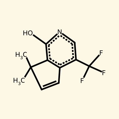 CC1(C)C=Cc2c(C(F)(F)F)cnc(O)c21